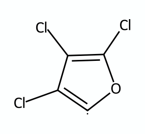 Clc1[c]oc(Cl)c1Cl